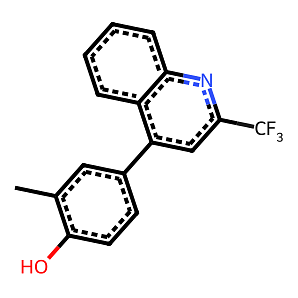 Cc1cc(-c2cc(C(F)(F)F)nc3ccccc23)ccc1O